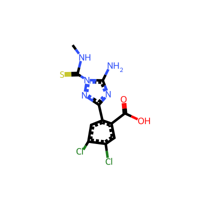 CNC(=S)n1nc(-c2cc(Cl)c(Cl)cc2C(=O)O)nc1N